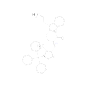 C=CCc1c2n(c3ccccc13)C(=O)/C(=C/c1ncn(C(c3ccccc3)(c3ccccc3)c3ccccc3)c1C)CC2